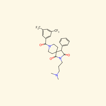 CN(C)CCCN1C(=O)C(c2ccccc2)C2(CCN(C(=O)c3cc(C(F)(F)F)cc(C(F)(F)F)c3)CC2)C1=O